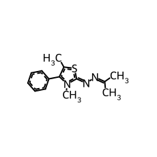 CC(C)=N/N=c1\sc(C)c(-c2ccccc2)n1C